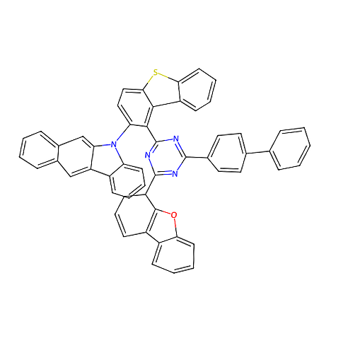 C1=Cc2c(oc3ccccc23)C(c2nc(-c3ccc(-c4ccccc4)cc3)nc(-c3c(-n4c5ccccc5c5cc6ccccc6cc54)ccc4sc5ccccc5c34)n2)C1